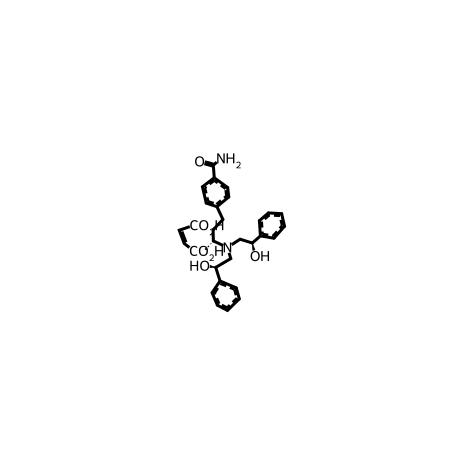 C[C@H](CCc1ccc(C(N)=O)cc1)N(C[C@H](O)c1ccccc1)C[C@H](O)c1ccccc1.O=C(O)/C=C\C(=O)O